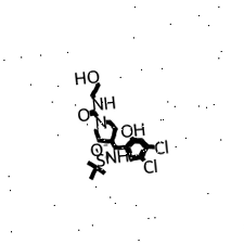 CC(C)(C)[S@+]([O-])N[C@@H](c1cc(Cl)c(Cl)cc1O)C1CCN(C(=O)NCCO)CC1